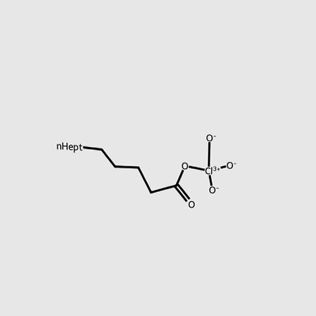 CCCCCCCCCCCC(=O)O[Cl+3]([O-])([O-])[O-]